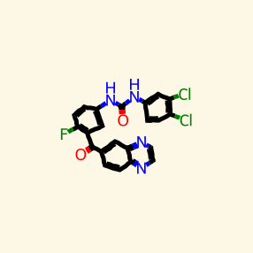 O=C(Nc1ccc(Cl)c(Cl)c1)Nc1ccc(F)c(C(=O)c2ccc3nccnc3c2)c1